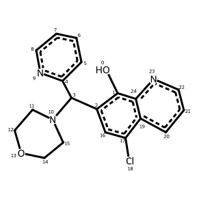 Oc1c(C(c2ccccn2)N2CCOCC2)cc(Cl)c2cccnc12